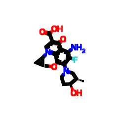 COc1c(N2CC[C@H](O)[C@@H](C)C2)c(F)c(N)c2c(=O)c(C(=O)O)cn(C3CC3)c12